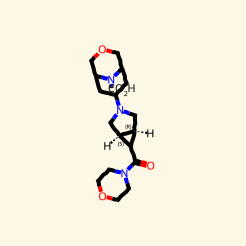 O=C(C1[C@H]2CN(C3CC4COCC(C3)N4C(=O)O)C[C@@H]12)N1CCOCC1